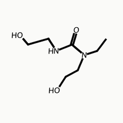 CCN(CCO)C(=O)NCCO